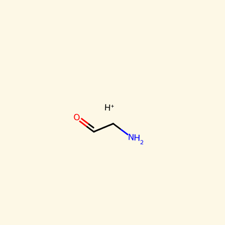 NCC=O.[H+]